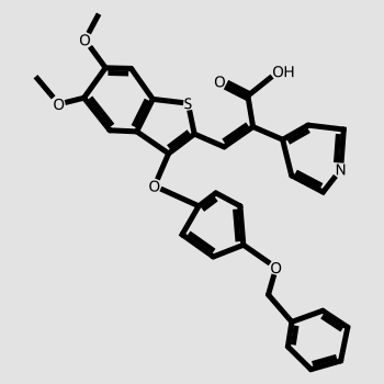 COc1cc2sc(C=C(C(=O)O)c3ccncc3)c(Oc3ccc(OCc4ccccc4)cc3)c2cc1OC